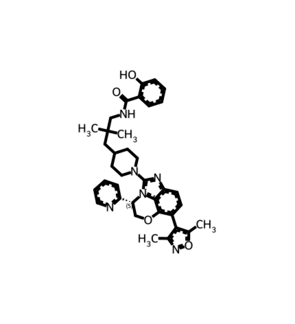 Cc1noc(C)c1-c1ccc2nc(N3CCC(CC(C)(C)CNC(=O)c4ccccc4O)CC3)n3c2c1OC[C@@H]3c1ccccn1